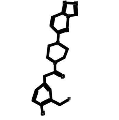 O=C(Cc1ccc(Cl)c(CF)c1)N1CCN(c2ccc3nncn3n2)CC1